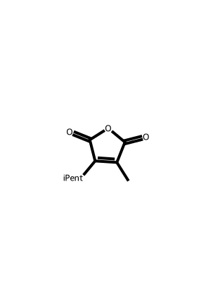 CCCC(C)C1=C(C)C(=O)OC1=O